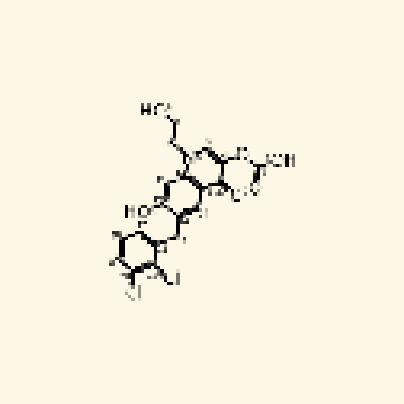 O=C(O)Oc1cn(CCO)c2cc(O)c(Cc3cccc(Cl)c3Cl)cc2c1=O